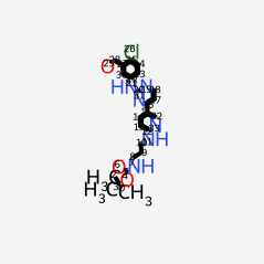 CC(C)(C)OC(=O)NCCCNc1ccc(-c2ccnc(Nc3ccc(Cl)c(C=O)c3)n2)cn1